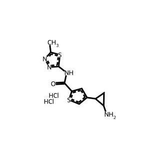 Cc1nnc(NC(=O)c2cc(C3CC3N)cs2)s1.Cl.Cl